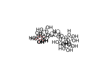 CC1=C[C@@]23CCC4[C@](C)(C(=O)OC5OC(CO)C(O)C(OC6OC(CO)C(O)C(O)C6O)C5OC5OC(CO)C(O)C(O)C5O)CCC[C@@]4(C)[C@@H]2CC[C@]1(OC1OC(CO)C(O)C(OC2OC(CO)C(O)C(O)C2O)C1OC1OC(CO)C(O)C(O)C1O)C3